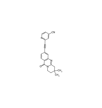 CC1(C)CCn2c(nc3cc(C#Cc4cc(C#N)ccn4)ccc3c2=O)C1